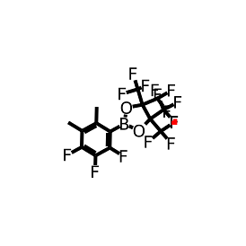 Cc1c(C)c(B2OC(C(F)(F)F)(C(F)(F)F)C(C(F)(F)F)(C(F)(F)F)O2)c(F)c(F)c1F